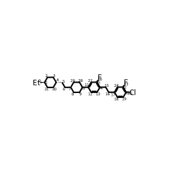 CC[C@H]1CC[C@H](CCC2CCC(c3ccc(CCc4ccc(Cl)c(F)c4)c(F)c3)CC2)CC1